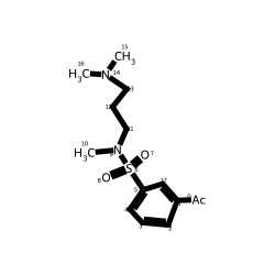 CC(=O)c1cccc(S(=O)(=O)N(C)CCCN(C)C)c1